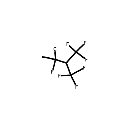 CC(F)(Cl)C(C(F)(F)F)C(F)(F)F